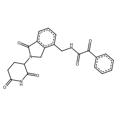 O=C1CCC(N2Cc3c(CNC(=O)C(=O)c4ccccc4)cccc3C2=O)C(=O)N1